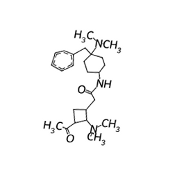 CC(=O)C1CC(CC(=O)NC2CCC(Cc3ccccc3)(N(C)C)CC2)C1N(C)C